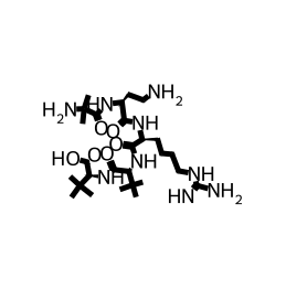 CC(C)(N)C(=O)N[C@@H](CCN)C(=O)N[C@@H](CCCCNC(=N)N)C(=O)N[C@H](C(=O)N[C@H](C(=O)O)C(C)(C)C)C(C)(C)C